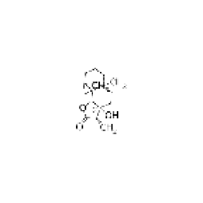 C=C1C(=O)OC2C34CC3(C)CCCC4(C)CC[C@@]12O